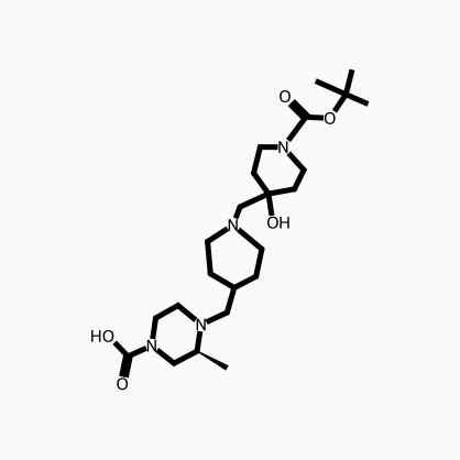 C[C@H]1CN(C(=O)O)CCN1CC1CCN(CC2(O)CCN(C(=O)OC(C)(C)C)CC2)CC1